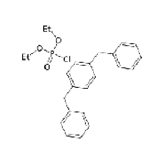 CCOP(=O)(Cl)OCC.c1ccc(Cc2ccc(Cc3ccccc3)cc2)cc1